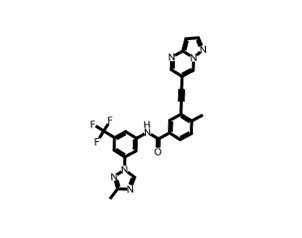 Cc1ncn(-c2cc(NC(=O)c3ccc(C)c(C#Cc4cnc5ccnn5c4)c3)cc(C(F)(F)F)c2)n1